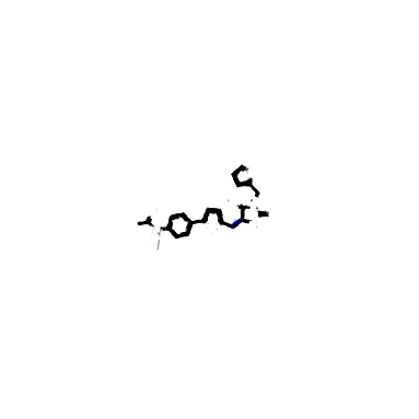 CC(=O)Nc1ccc(-c2ccc(/C=C3/SC(=O)N(Cc4ccco4)C3=O)o2)cc1